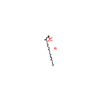 C=C(CC(C)CCCCCCCCCCCCCCCC)C(=O)O.CO